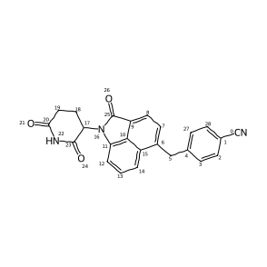 N#Cc1ccc(Cc2ccc3c4c(cccc24)N(C2CCC(=O)NC2=O)C3=O)cc1